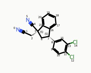 N#CC[C@@]1(C#N)C[C@@H](c2ccc(Cl)c(Cl)c2)c2ccccc21